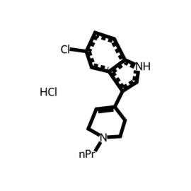 CCCN1CC=C(c2c[nH]c3ccc(Cl)cc23)CC1.Cl